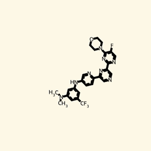 CN(C)c1cc(Nc2ccc(-c3cncc(-c4ncc(F)c(N5CCOCC5)n4)n3)nc2)cc(C(F)(F)F)c1